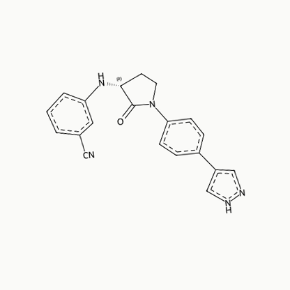 N#Cc1cccc(N[C@@H]2CCN(c3ccc(-c4cn[nH]c4)cc3)C2=O)c1